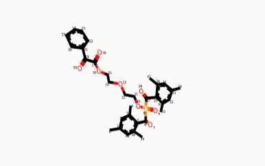 Cc1cc(C)c(C(=O)P(=O)(OCCOCCOC(=O)C(=O)c2ccccc2)C(=O)c2c(C)cc(C)cc2C)c(C)c1